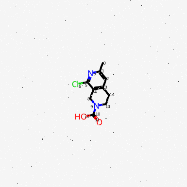 Cc1cc2c(c(Cl)n1)CN(C(=O)O)CC2